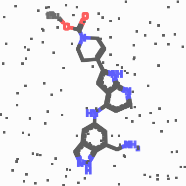 CC(C)(C)OC(=O)N1CC=C(c2cc3c(Nc4cc(CN)c5[nH]ncc5c4)ccnc3[nH]2)CC1